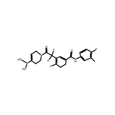 Cc1cc(NC(=O)C2=CC(C(F)(F)C(=O)N3CC=C(B(O)O)CC3)=C(F)CC2)ccc1F